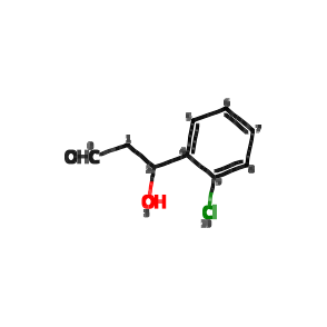 O=CCC(O)c1ccccc1Cl